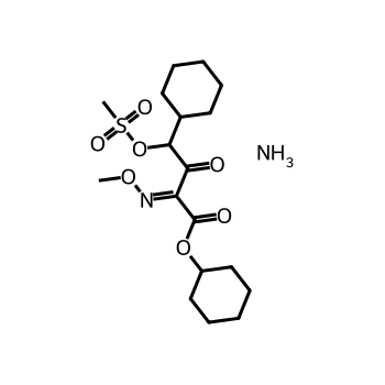 CON=C(C(=O)OC1CCCCC1)C(=O)C(OS(C)(=O)=O)C1CCCCC1.N